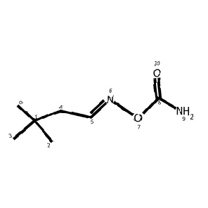 CC(C)(C)CC=NOC(N)=O